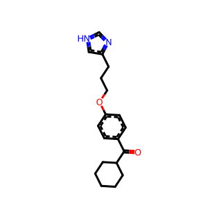 O=C(c1ccc(OCCCc2c[nH]cn2)cc1)C1CCCCC1